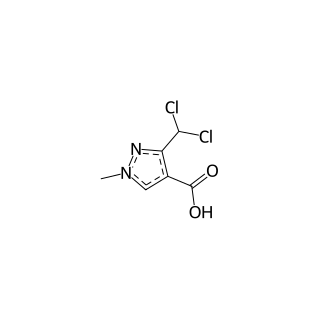 Cn1cc(C(=O)O)c(C(Cl)Cl)n1